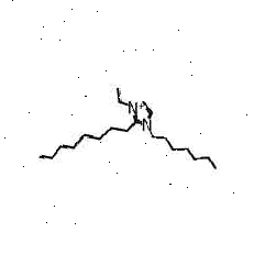 CCCCCCCCc1n(CCCCCCC)cc[n+]1CC